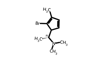 CC1=C(Br)C([C@@H](C)N(C)C)C=C1